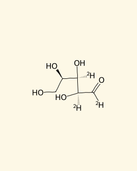 [2H]C(=O)[C@@]([2H])(O)[C@]([2H])(O)[C@H](O)CO